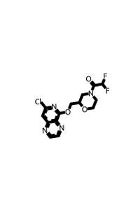 O=C(C(F)F)N1CCOC(COc2nc(Cl)cc3nccnc23)C1